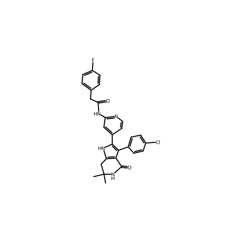 CC1(C)Cc2[nH]c(-c3ccnc(NC(=O)Cc4ccc(F)cc4)c3)c(-c3ccc(Cl)cc3)c2C(=O)N1